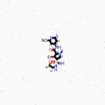 CCc1c(S(=N)(=O)N[C@H](C)[C@H](C)O)cn(C)c1C(=O)Nc1cc(F)nc(C#N)c1